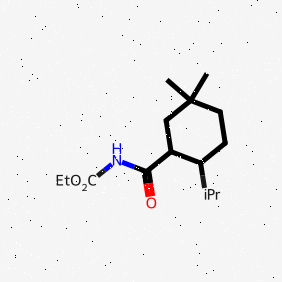 CCOC(=O)NC(=O)C1CC(C)(C)CCC1C(C)C